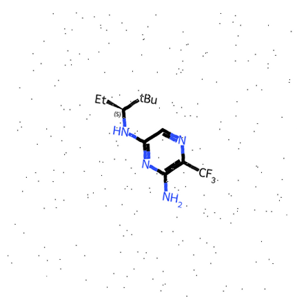 CC[C@H](Nc1cnc(C(F)(F)F)c(N)n1)C(C)(C)C